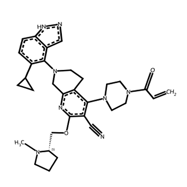 C=CC(=O)N1CCN(c2c(C#N)c(OC[C@@H]3CCCN3C)nc3c2CCN(c2c(C4CC4)ccc4[nH]ncc24)C3)CC1